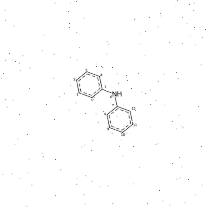 [c]1ccccc1Nc1ccccc1